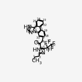 CCCc1nc(C(F)(F)C(F)(F)F)c(C(=O)Cc2ccc(-c3ccccc3-c3nnn[nH]3)cc2)[nH]1